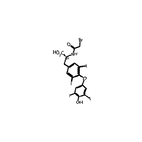 O=C(CBr)N[C@@H](Cc1cc(I)c(Oc2cc(I)c(O)c(I)c2)c(I)c1)C(=O)O